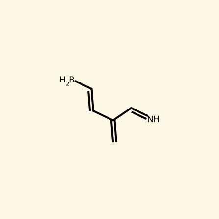 B/C=C/C(=C)C=N